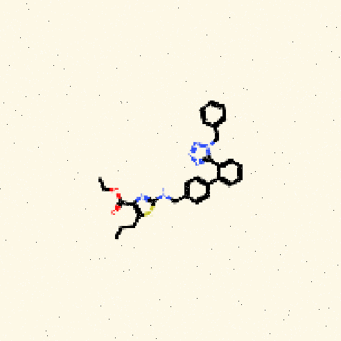 CCCc1sc(NCc2ccc(-c3ccccc3-c3nnnn3Cc3ccccc3)cc2)nc1C(=O)OCC